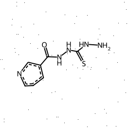 NNC(=S)NNC(=O)c1cccnc1